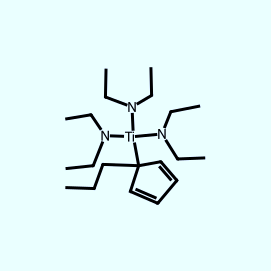 CCC[C]1([Ti]([N](CC)CC)([N](CC)CC)[N](CC)CC)C=CC=C1